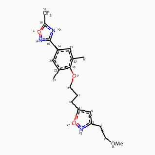 COCCc1cc(CCCOc2c(C)cc(-c3noc(C(F)(F)F)n3)cc2C)on1